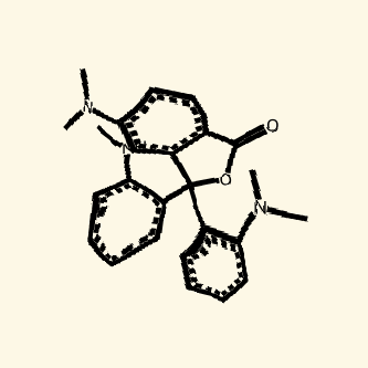 CNc1ccccc1C1(c2ccccc2N(C)C)OC(=O)c2ccc(N(C)C)cc21